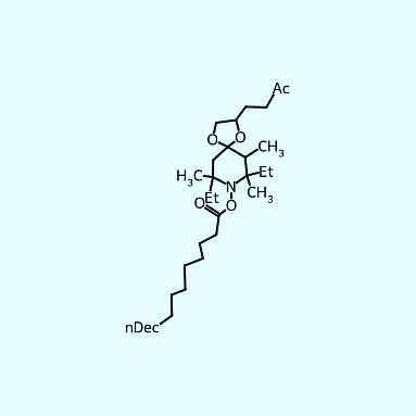 CCCCCCCCCCCCCCCCCC(=O)ON1C(C)(CC)CC2(OCC(CCC(C)=O)O2)C(C)C1(C)CC